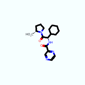 O=C(N[C@H](C(=O)N1CCC[C@H]1C(=O)O)C1CCCCC1)c1cnccn1